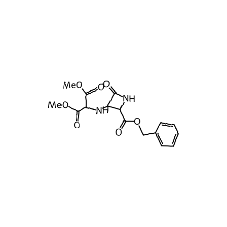 COC(=O)C(NC1C(=O)NC1C(=O)OCc1ccccc1)C(=O)OC